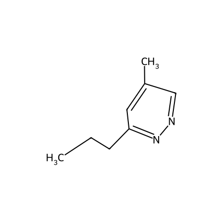 CCCc1cc(C)cnn1